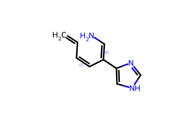 C=C/C=C\C(=C/N)c1c[nH]cn1